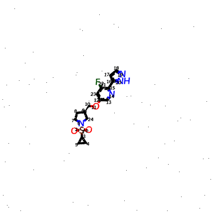 O=S(=O)(C1CC1)N1CC[C@@H](COc2cnc(-c3ccn[nH]3)c(F)c2)C1